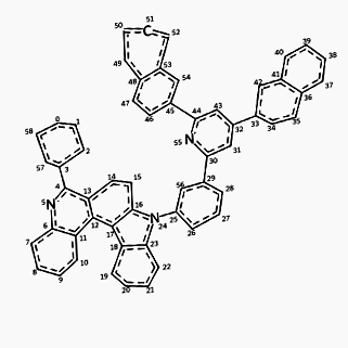 c1ccc(-c2nc3ccccc3c3c2ccc2c3c3ccccc3n2-c2cccc(-c3cc(-c4ccc5ccccc5c4)cc(-c4ccc5ccccc5c4)n3)c2)cc1